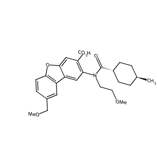 COCCN(c1cc2c(cc1C(=O)O)oc1ccc(COC)cc12)C(=O)[C@H]1CC[C@H](C)CC1